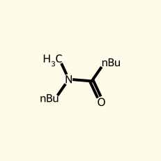 [CH2]CCCC(=O)N(C)CCCC